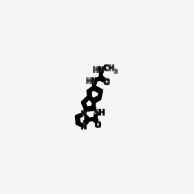 CNC(=O)Nc1ccc2c(c1)Cc1c-2[nH]c(=O)c2nccn12